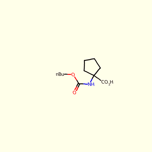 CCCCOC(=O)NC1(C(=O)O)CCCC1